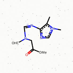 COC(=O)CN(C=O)/C=N\c1ncn(C)c1C